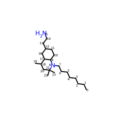 CCCCCCCCN1C2CCC(CCN)CC2C(C)CC1(C)C